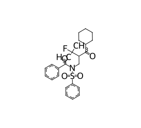 CC(C)(F)C(CN(C(=O)c1ccccc1)S(=O)(=O)c1ccccc1)C(=O)C1CCCCC1